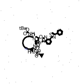 CC(C)n1c(O[C@@H]2C[C@H]3C(=O)N[C@]4(C(=O)NS(=O)(=O)C5CC5)C[C@H]4/C=C\CCCCC[C@H](NC(=O)OC(C)(C)C)C(=O)N3C2)nc2c(-c3nc(-c4ccccc4)cs3)cccc21